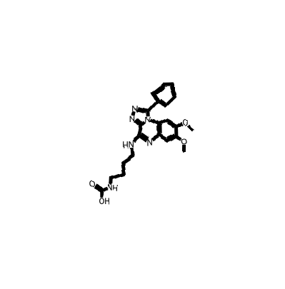 COc1cc2nc(NCCCCNC(=O)O)c3nnc(-c4ccccc4)n3c2cc1OC